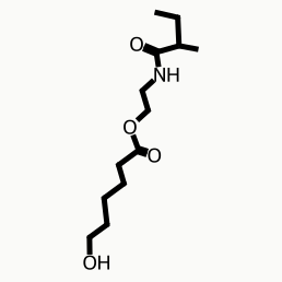 CCC(C)C(=O)NCCOC(=O)CCCCCO